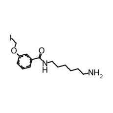 NCCCCCCNC(=O)c1cccc(OCI)c1